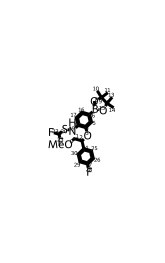 COCC(Oc1cc(B2OC(C)(C)C(C)(C)O2)ccc1NSC(F)F)c1ccc(F)cc1